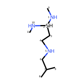 CN[SiH](CCNCC(C)C)NC